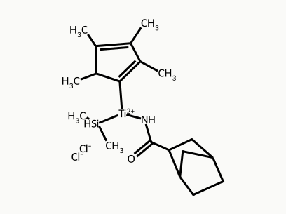 CC1=C(C)C(C)[C]([Ti+2]([NH]C(=O)C2CC3CCC2C3)[SiH](C)C)=C1C.[Cl-].[Cl-]